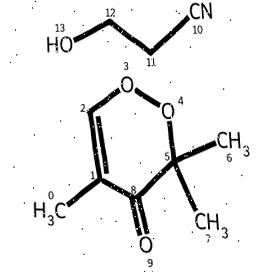 CC1=COOC(C)(C)C1=O.N#CCCO